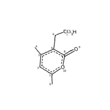 Cc1cc(C)c(CC(=O)O)c(=O)o1